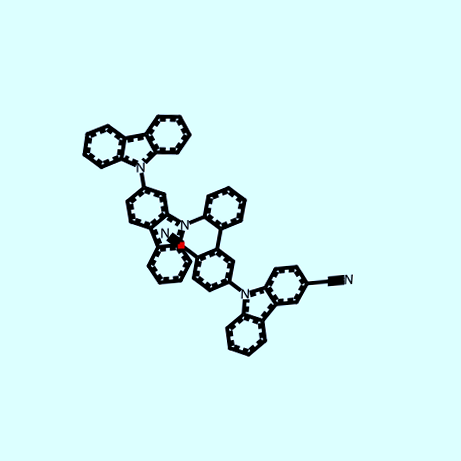 N#Cc1ccc2c(c1)c1ccccc1n2-c1ccc(C#N)c(-c2ccccc2-n2c3ccccc3c3ccc(-n4c5ccccc5c5ccccc54)cc32)c1